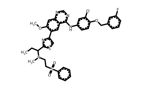 CCC(c1nc(-c2cc3c(Nc4ccc(OCc5cccc(F)c5)c(Cl)c4)ncnc3cc2OC)cs1)N(C)CCS(=O)(=O)c1ccccc1